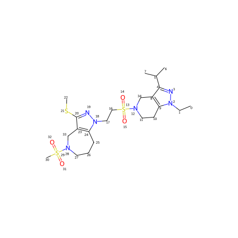 CCn1nc(C(C)C)c2c1CCN(S(=O)(=O)CCn1nc(SC)c3c1CCCN(S(C)(=O)=O)C3)C2